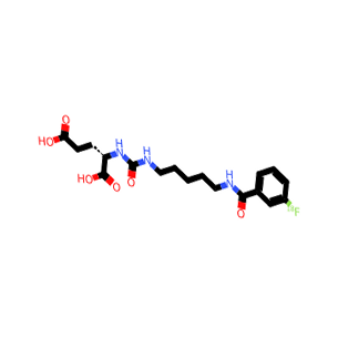 O=C(O)CC[C@H](NC(=O)NCCCCCNC(=O)c1cccc([18F])c1)C(=O)O